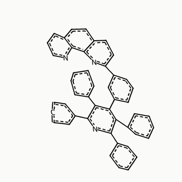 c1ccc(-c2nc(-c3ccccc3)c(-c3ccccc3)c(-c3cccc(-c4ccc5ccc6cccnc6c5n4)c3)c2-c2ccccc2)cc1